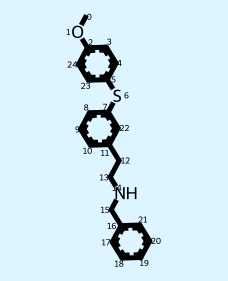 COc1ccc(Sc2cccc(CCNCc3ccccc3)c2)cc1